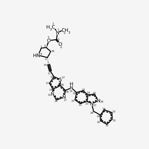 CN(C)C(=O)O[C@@H]1CN[C@@H](C#Cc2cc3ncnc(Nc4ccc5c(cnn5Cc5ccccc5)c4)c3s2)C1